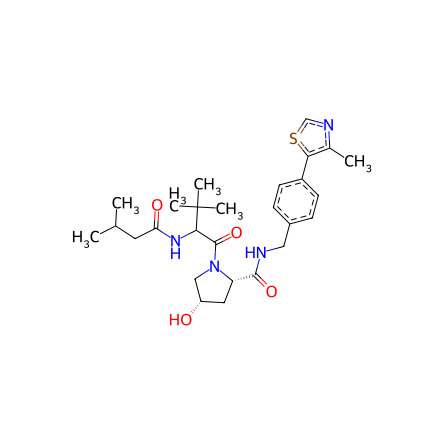 Cc1ncsc1-c1ccc(CNC(=O)[C@@H]2C[C@H](O)CN2C(=O)C(NC(=O)CC(C)C)C(C)(C)C)cc1